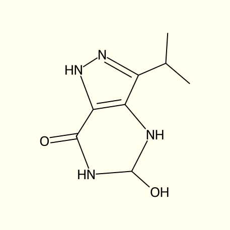 CC(C)c1n[nH]c2c1NC(O)NC2=O